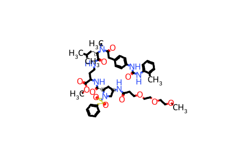 COCCOCCOCCC(=O)N[C@@H]1C[C@@H](C(=O)NC(CCNC(=O)[C@H](CC(C)C)N(C)C(=O)Cc2ccc(NC(=O)Nc3ccccc3C)cc2)C(=O)OC)N(S(=O)(=O)c2ccccc2)C1